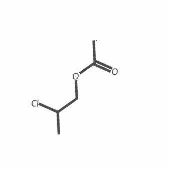 [CH2]C(=O)OCC(C)Cl